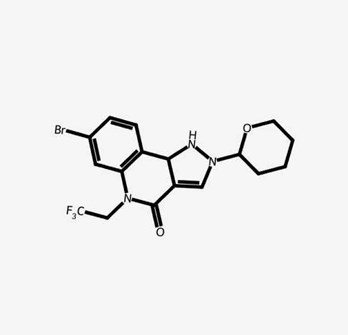 O=C1C2=CN(C3CCCCO3)NC2c2ccc(Br)cc2N1CC(F)(F)F